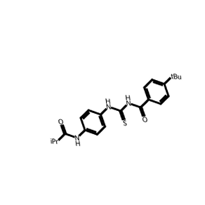 CC(C)C(=O)Nc1ccc(NC(=S)NC(=O)c2ccc(C(C)(C)C)cc2)cc1